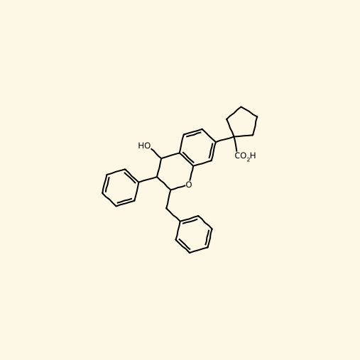 O=C(O)C1(c2ccc3c(c2)OC(Cc2ccccc2)C(c2ccccc2)C3O)CCCC1